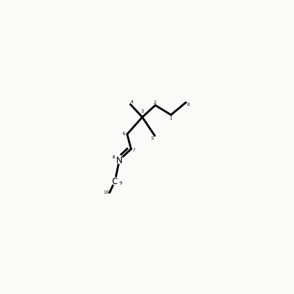 CCCC(C)(C)C/C=N/CC